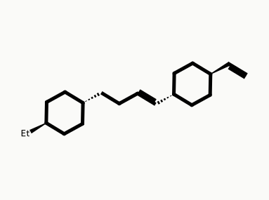 C=C[C@H]1CC[C@H](C=CCC[C@H]2CC[C@H](CC)CC2)CC1